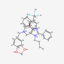 CCCCn1c(-c2ccccc2)nc(-c2ccccc2)c1CN(Cc1cccc(C(F)(F)F)c1)Cc1ccc2c(c1)OCO2